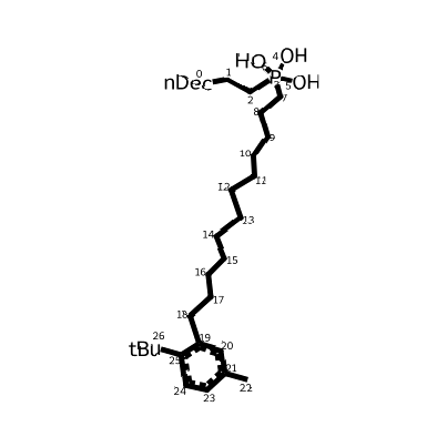 CCCCCCCCCCCCP(O)(O)(O)CCCCCCCCCCCCc1cc(C)ccc1C(C)(C)C